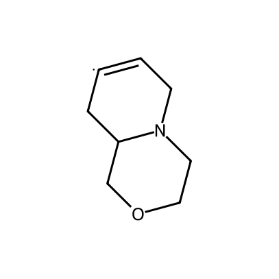 [C]1=CCN2CCOCC2C1